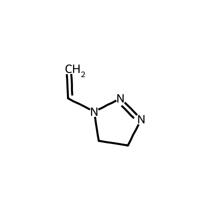 C=CN1CCN=N1